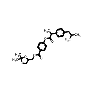 CC(C)Cc1ccc(C(C)C(=O)Oc2ccc(C(=O)OCC3COC(C)(C)O3)cc2)cc1